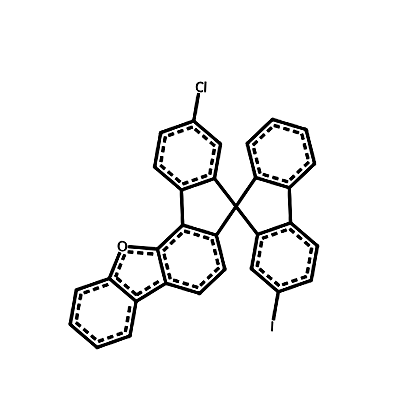 Clc1ccc2c(c1)C1(c3ccccc3-c3ccc(I)cc31)c1ccc3c(oc4ccccc43)c1-2